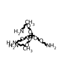 CC(CCCN)OCCOCC(COCCOCCCN)(COCCOCCCN)COCCOC(C)CCCN